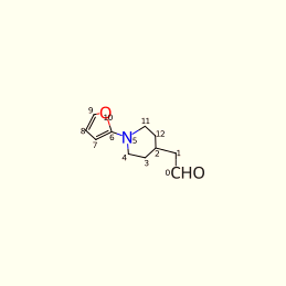 O=CCC1CCN(c2ccco2)CC1